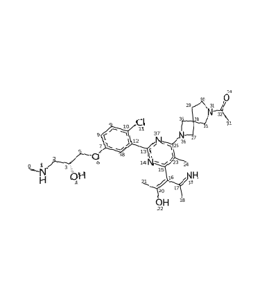 CNC[C@@H](O)COc1ccc(Cl)c(-c2nc(/C(C(C)=N)=C(\C)O)c(C)c(N3CC4(CCN(C(C)=O)C4)C3)n2)c1